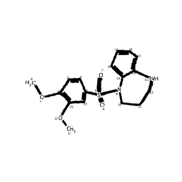 COc1ccc(S(=O)(=O)N2CCCNc3ccccc32)cc1OC